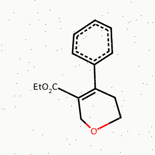 CCOC(=O)C1=C(c2ccccc2)CCOC1